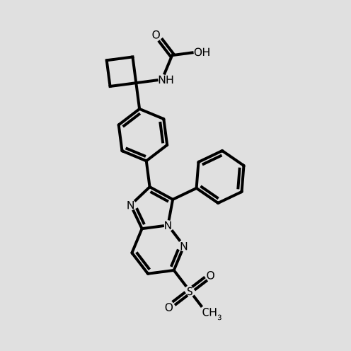 CS(=O)(=O)c1ccc2nc(-c3ccc(C4(NC(=O)O)CCC4)cc3)c(-c3ccccc3)n2n1